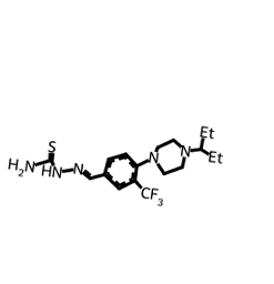 CCC(CC)N1CCN(c2ccc(C=NNC(N)=S)cc2C(F)(F)F)CC1